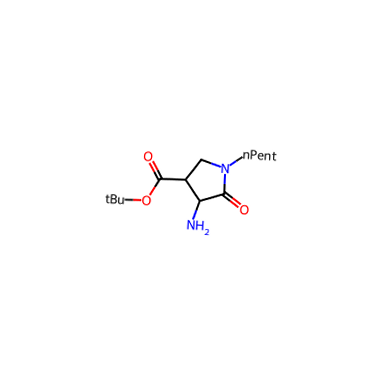 CCCCCN1CC(C(=O)OC(C)(C)C)C(N)C1=O